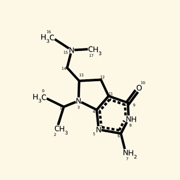 CC(C)N1c2nc(N)[nH]c(=O)c2CC1CN(C)C